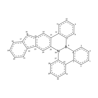 c1ccc2c(c1)B1c3ccccc3-c3cc4sc5ccccc5c4cc3N1c1ccccc1-2